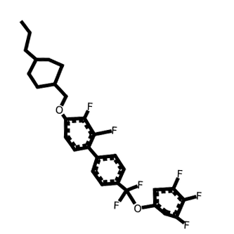 CCCC1CCC(COc2ccc(-c3ccc(C(F)(F)Oc4cc(F)c(F)c(F)c4)cc3)c(F)c2F)CC1